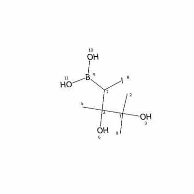 CC(C)(O)C(C)(O)C(I)B(O)O